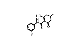 CC1CC(=O)C(C(=S)Nc2cccc(F)c2)=C(O)C1